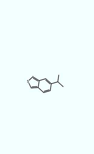 CC(C)c1ccc2cs[c]c2c1